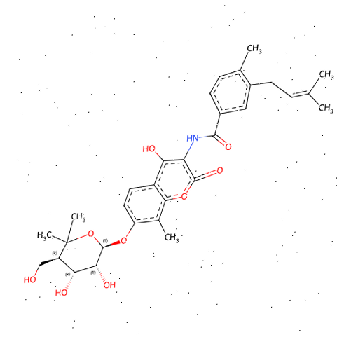 CC(C)=CCc1cc(C(=O)Nc2c(O)c3ccc(O[C@@H]4OC(C)(C)[C@H](CO)[C@@H](O)[C@H]4O)c(C)c3oc2=O)ccc1C